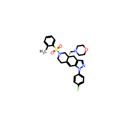 Cc1ccccc1S(=O)(=O)N1CCC2=Cc3c(cnn3-c3ccc(F)cc3)C[C@]2(CN2CCOCC2)C1